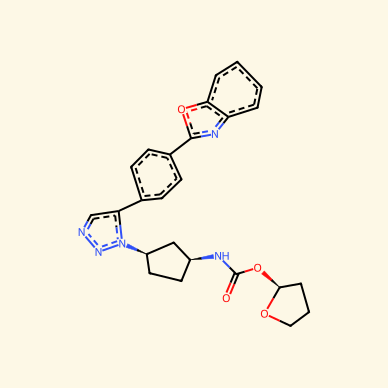 O=C(N[C@H]1CC[C@@H](n2nncc2-c2ccc(-c3nc4ccccc4o3)cc2)C1)O[C@H]1CCCO1